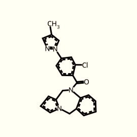 Cc1cnn(-c2ccc(C(=O)N3Cc4cccn4Cc4ccccc43)c(Cl)c2)c1